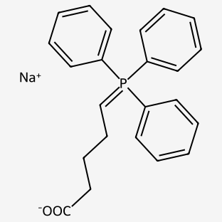 O=C([O-])CCCC=P(c1ccccc1)(c1ccccc1)c1ccccc1.[Na+]